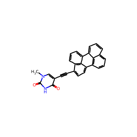 Cn1cc(C#Cc2ccc3c4cccc5cccc(c6cccc2c63)c54)c(=O)[nH]c1=O